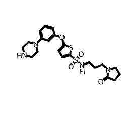 O=C1CCCN1CCCNS(=O)(=O)c1ccc(Oc2cccc(N3CCNCC3)c2)s1